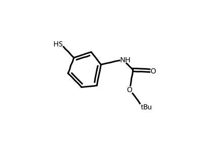 CC(C)(C)OC(=O)Nc1cccc(S)c1